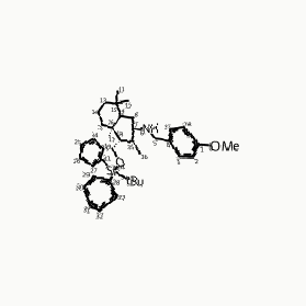 COc1ccc(CN[C@@H]2CC3C(C)(C)CCC[C@]3(C)[C@@H](CO[Si](c3ccccc3)(c3ccccc3)C(C)(C)C)[C@@H]2C)cc1